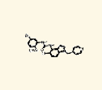 COc1ccc(Br)cc1NC(=O)Nc1c(Cl)ccc2c1ccn2Cc1ccncc1